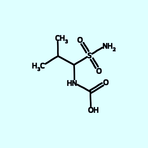 CC(C)C(NC(=O)O)S(N)(=O)=O